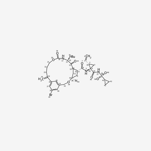 C=C[C@@H]1C[C@]1(NC(=O)[C@@H]1C[C@@H]2CN1C(=O)[C@H](CCCC)NC(=O)OCCCC(=C)c1cc(Br)cc(c1)CO2)C(=O)NS(=O)(=O)C1CC1